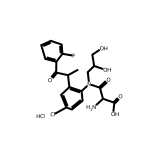 CC(C(=O)c1ccccc1F)c1cc(Cl)ccc1N(CC(O)CO)C(=O)C(N)C(=O)O.Cl